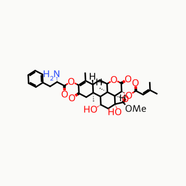 COC(=O)[C@@]1(O)C[C@H](O)C2[C@]3(C)[C@H]1[C@@H](OC(=O)C=C(C)C)C(=O)O[C@@H]3C[C@H]1C(C)=C(OC(=O)[C@@H](N)Cc3ccccc3)C(=O)C[C@]21C